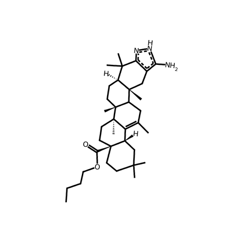 CCCCOC(=O)[C@]12CCC(C)(C)C[C@H]1C1=C(C)CC3[C@@]4(C)Cc5c(n[nH]c5N)C(C)(C)[C@@H]4CC[C@@]3(C)[C@]1(C)CC2